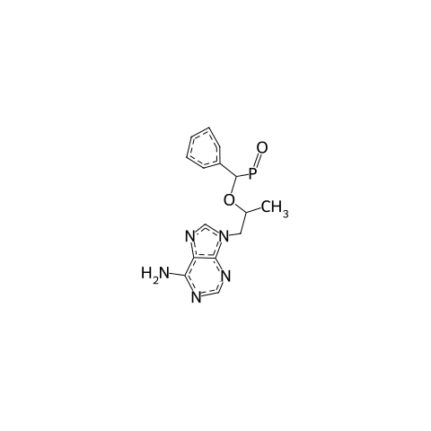 CC(Cn1cnc2c(N)ncnc21)OC(P=O)c1ccccc1